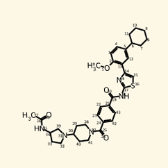 COc1ccc(C2CCCCC2)cc1-c1csc(NC(=O)c2ccc(C(=O)N3CCC(N4CCC(NC(C)=O)C4)CC3)cc2)n1